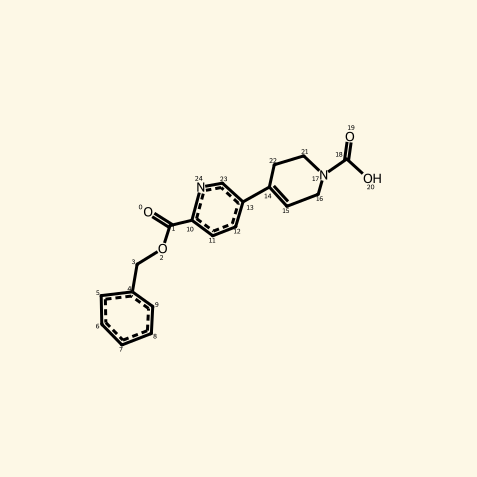 O=C(OCc1ccccc1)c1ccc(C2=CCN(C(=O)O)CC2)cn1